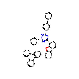 c1ccc(-c2ccc(-c3nc(-c4ccccc4)nc(-c4cccc5c4oc4c(-c6ccc7c8ccccc8c8ccccc8c7c6)cccc45)n3)cc2)cc1